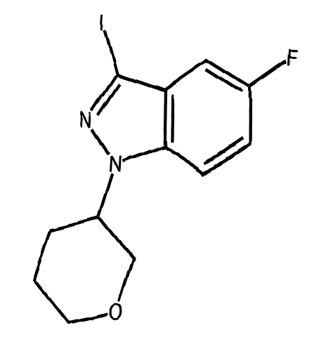 Fc1ccc2c(c1)c(I)nn2C1CCCOC1